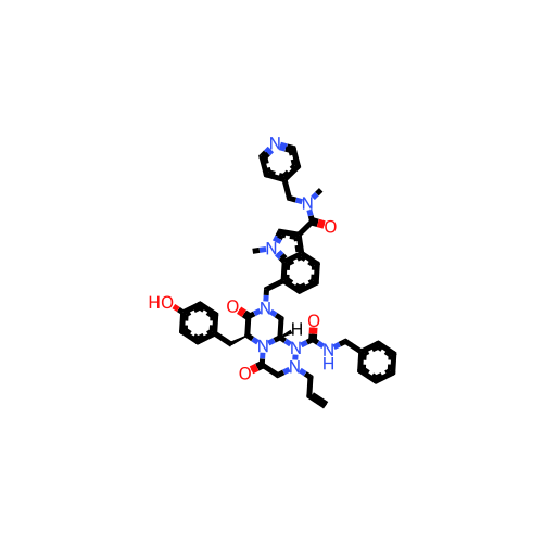 C=CCN1CC(=O)N2[C@@H](Cc3ccc(O)cc3)C(=O)N(Cc3cccc4c(C(=O)N(C)Cc5ccncc5)cn(C)c34)C[C@@H]2N1C(=O)NCc1ccccc1